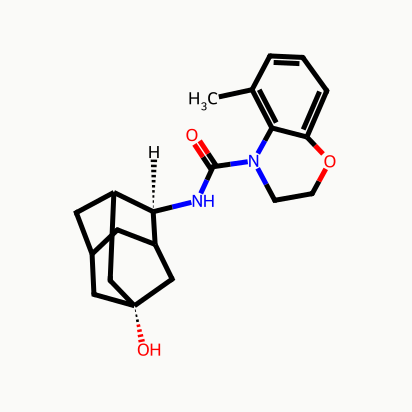 Cc1cccc2c1N(C(=O)N[C@H]1C3CC4CC1C[C@](O)(C4)C3)CCO2